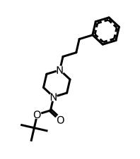 CC(C)(C)OC(=O)N1CCN(CCCc2ccccc2)CC1